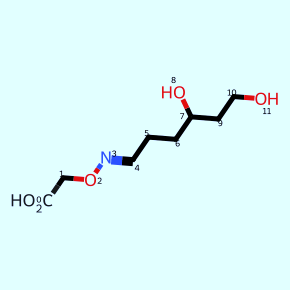 O=C(O)CO/N=C/CCC(O)CCO